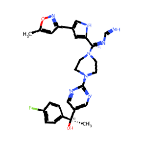 Cc1cc(-c2c[nH]c(/C(=N\C=N)N3CCN(c4ncc([C@@](C)(O)c5ccc(F)cc5)cn4)CC3)c2)no1